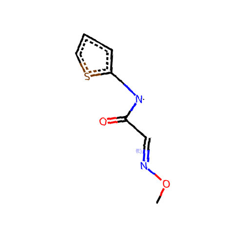 CO/N=C/C(=O)[N]c1cccs1